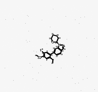 CCc1cc(OC)c(F)cc1-c1ccc2cnn(C3CCCCO3)c2c1